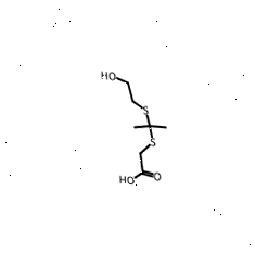 CC(C)(SCCO)SCC(=O)O